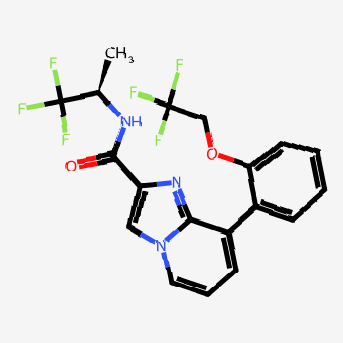 C[C@@H](NC(=O)c1cn2cccc(-c3ccccc3OCC(F)(F)F)c2n1)C(F)(F)F